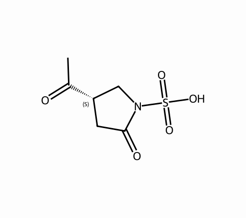 CC(=O)[C@H]1CC(=O)N(S(=O)(=O)O)C1